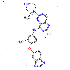 Cc1cc(Nc2ncnc3cnc(N4CCNC[C@@H]4C)nc23)ccc1Oc1ccn2ncnc2c1.Cl